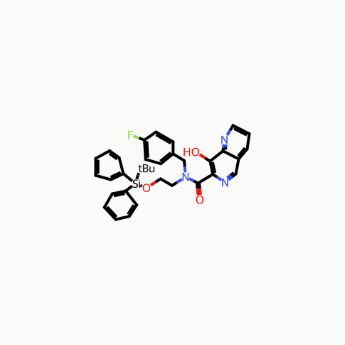 CC(C)(C)[Si](OCCN(Cc1ccc(F)cc1)C(=O)c1ncc2cccnc2c1O)(c1ccccc1)c1ccccc1